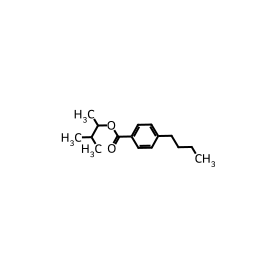 CCCCc1ccc(C(=O)OC(C)C(C)C)cc1